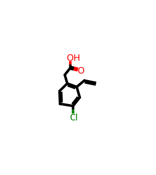 C=Cc1cc(Cl)ccc1CC(=O)O